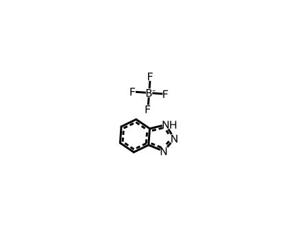 F[B-](F)(F)F.c1ccc2[nH]nnc2c1